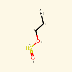 CCCCO[SH]=O